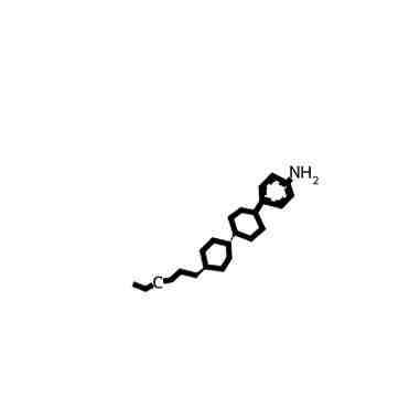 CCCCCC[C@H]1CC[C@H](C2CCC(c3ccc(N)cc3)CC2)CC1